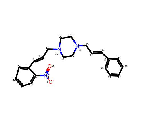 O=[N+]([O-])c1ccccc1C=CCN1CCN(CC=Cc2ccccc2)CC1